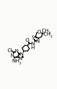 CC1(C)Cc2nc(NC(=O)C3CCC(n4cnc5c(N)nc(Cl)nc54)CC3)sc2CO1